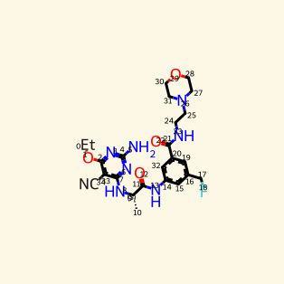 CCOc1nc(N)nc(N[C@@H](C)C(=O)Nc2cc(CF)cc(C(=O)NCCN3CCOCC3)c2)c1C#N